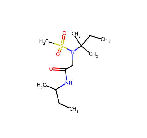 CCC(C)NC(=O)CN(C(C)(C)CC)S(C)(=O)=O